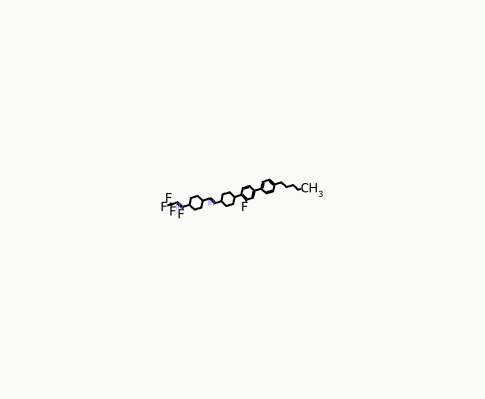 CCCCCc1ccc(-c2ccc(C3CCC(/C=C/C4CCC(/C(F)=C/C(F)(F)F)CC4)CC3)c(F)c2)cc1